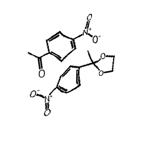 CC(=O)c1ccc([N+](=O)[O-])cc1.CC1(c2ccc([N+](=O)[O-])cc2)OCCO1